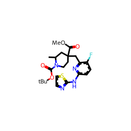 COC(=O)C1(Cc2nc(Nc3nccs3)ccc2F)CCN(C(=O)OC(C)(C)C)C(C)C1